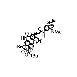 CNCc1cc(NC(=O)CCc2cc(C(Nc3ccc4c(N(C(=O)OC(C)(C)C)C(=O)OC(C)(C)C)ncc(F)c4c3)C(=O)O)ccc2CC(F)F)ccc1S(=O)(=O)C1CC1